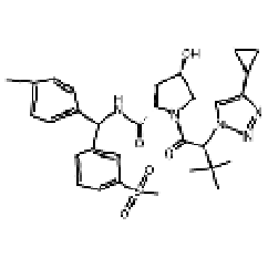 Cc1ccc(C(NC(=O)[C@@H]2C[C@@H](O)CN2C(=O)[C@@H](n2cc(C3CC3)nn2)C(C)(C)C)c2cccc(S(C)(=O)=O)c2)cc1